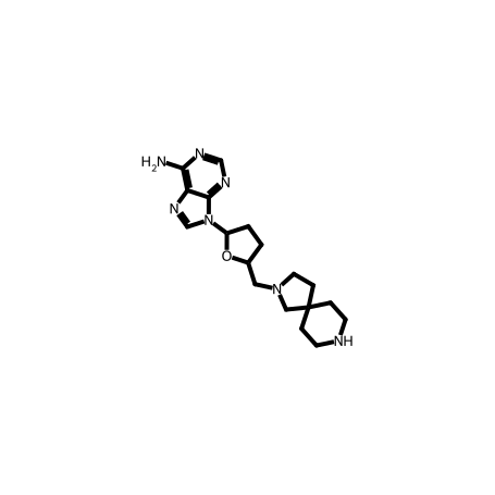 Nc1ncnc2c1ncn2C1CCC(CN2CCC3(CCNCC3)C2)O1